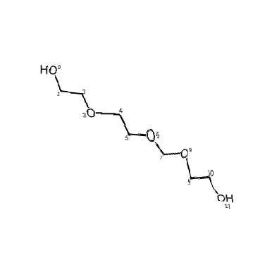 OCCOCCOCOCCO